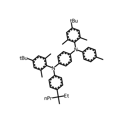 CCCC(C)(CC)c1ccc(N(c2ccc(N(c3ccc(C)cc3)c3c(C)cc(C(C)(C)C)cc3C)cc2)c2c(C)cc(C(C)(C)C)cc2C)cc1